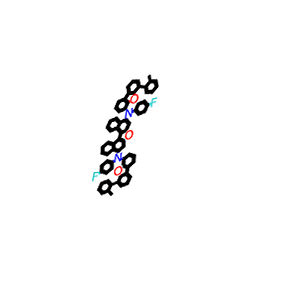 Cc1ccccc1-c1cccc2c1oc1c(N(c3ccc(F)cc3)c3cc4oc5cc(N(c6ccc(F)cc6)c6cccc7c6oc6c(-c8ccccc8C)cccc67)c6ccccc6c5c4c4ccccc34)cccc12